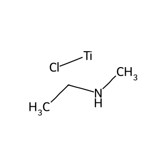 CCNC.[Cl][Ti]